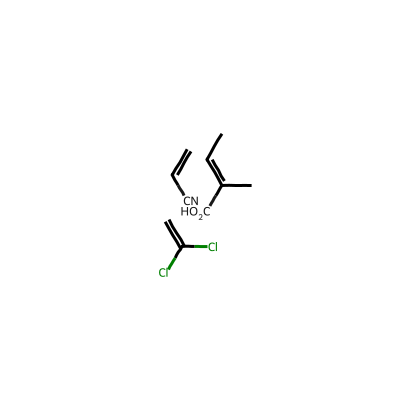 C=C(Cl)Cl.C=CC#N.CC=C(C)C(=O)O